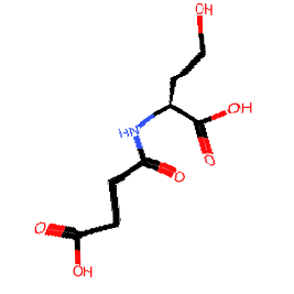 O=C(O)CCC(=O)N[C@@H](CCO)C(=O)O